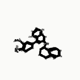 COc1cc(-c2cc(NC3CCCc4ccccc43)cc3nccnc23)ccc1C#N